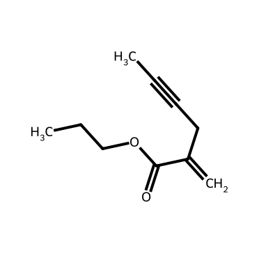 C=C(CC#CC)C(=O)OCCC